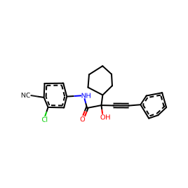 N#Cc1ccc(NC(=O)C(O)(C#Cc2ccccc2)C2CCCCC2)cc1Cl